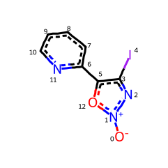 [O-][n+]1nc(I)c(-c2ccccn2)o1